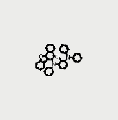 Clc1c(N(c2ccccc2)c2ccccc2)cccc1N(c1ccccc1)c1cc2ccccc2c2oc3ccccc3c12